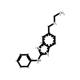 CCOCc1ccc2oc(NC3=CC=CCC3)nc2c1